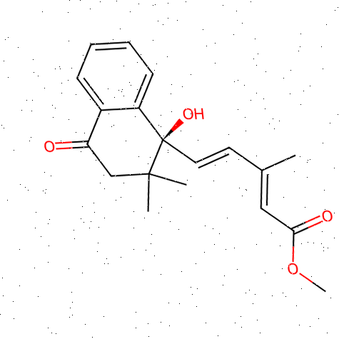 COC(=O)C=C(C)C=C[C@@]1(O)c2ccccc2C(=O)CC1(C)C